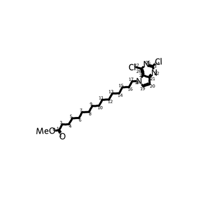 COC(=O)CCCCCCCCCCCCCCCn1ccc2nc(Cl)nc(Cl)c21